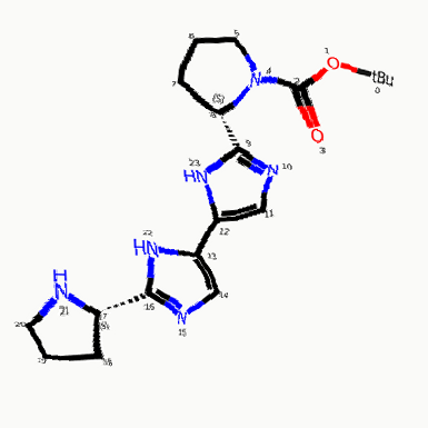 CC(C)(C)OC(=O)N1CCC[C@H]1c1ncc(-c2cnc([C@@H]3CCCN3)[nH]2)[nH]1